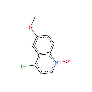 COc1ccc2c(c1)c(Cl)cc[n+]2[O-]